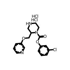 Cl.Cl.O=C(Oc1cccc(Cl)c1)N1CCNCC1COc1cccnc1